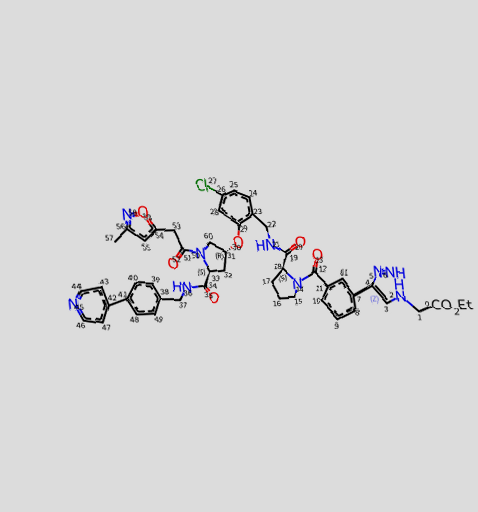 CCOC(=O)CN/C=C(\N=N)c1cccc(C(=O)N2CCC[C@H]2C(=O)NCc2ccc(Cl)cc2O[C@@H]2C[C@@H](C(=O)NCc3ccc(-c4ccncc4)cc3)N(C(=O)Cc3cc(C)no3)C2)c1